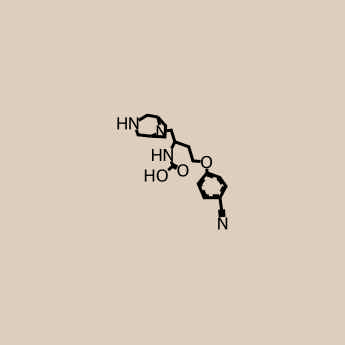 N#Cc1ccc(OCCC(CN2C3CCC2CNC3)NC(=O)O)cc1